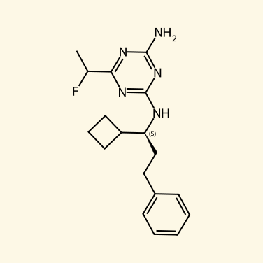 CC(F)c1nc(N)nc(N[C@@H](CCc2ccccc2)C2CCC2)n1